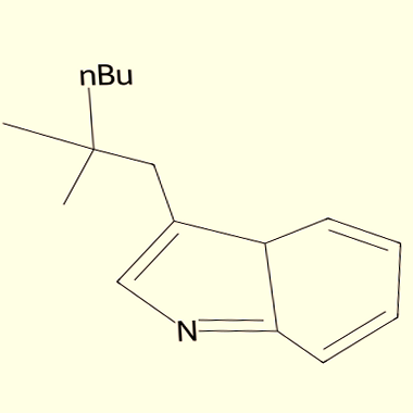 CCCCC(C)(C)CC1=CN=C2C=CC=CC12